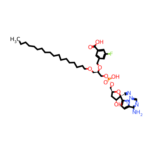 CCCCCCCCCCCCCCCCCCOC[C@H](COP(=O)(O)OC[C@@H]1C[C@@H](O)[C@](C#N)(c2ccc3c(N)ncnn23)O1)OCc1cc(F)cc(C(=O)O)c1